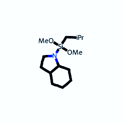 CO[Si](CC(C)C)(OC)N1CCC2CCCCC21